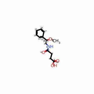 CO[C@@H](CNC(=O)CCC(=O)O)c1ccccc1